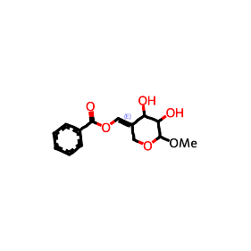 COC1OC/C(=C\OC(=O)c2ccccc2)C(O)C1O